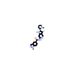 CN1CCC[C@@H]1c1[nH]c2cc(NC(=O)c3ccc4c(cnn4C)c3)ncc2c1F